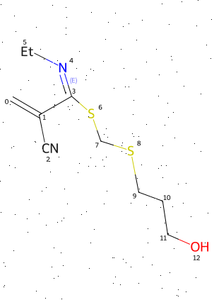 C=C(C#N)/C(=N\CC)SCSCCCO